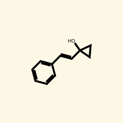 OC1(/C=C/c2ccccc2)CC1